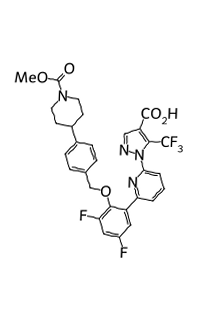 COC(=O)N1CCC(c2ccc(COc3c(F)cc(F)cc3-c3cccc(-n4ncc(C(=O)O)c4C(F)(F)F)n3)cc2)CC1